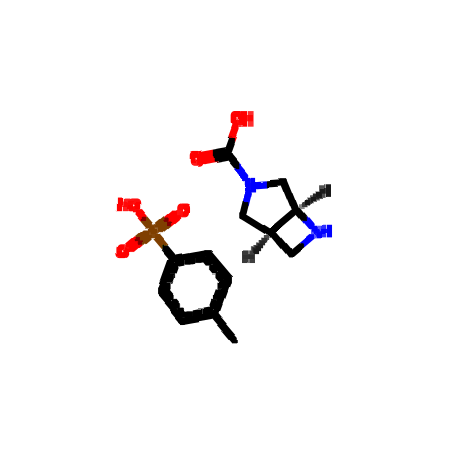 Cc1ccc(S(=O)(=O)O)cc1.O=C(O)N1C[C@@H]2CN[C@@H]2C1